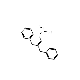 O=[PH](O)OC=C(Cc1ccccc1)Cc1ccccc1